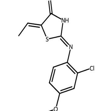 C/C=C1\S/C(=N\c2ccc(OC)cc2Cl)NC1=O